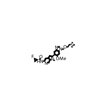 COc1cc2c(cc1-c1cc3cc(NC(=O)[C@@H]4C[C@@H]4F)ncc3n1C)ncn2COCC[Si](C)(C)C